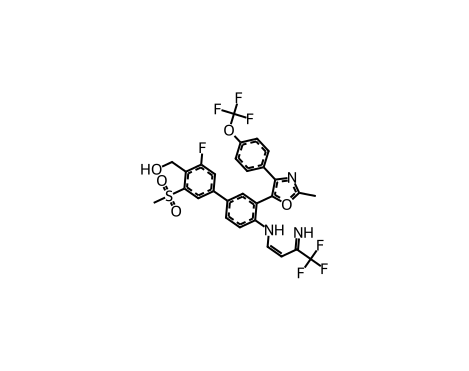 Cc1nc(-c2ccc(OC(F)(F)F)cc2)c(-c2cc(-c3cc(F)c(CO)c(S(C)(=O)=O)c3)ccc2N/C=C\C(=N)C(F)(F)F)o1